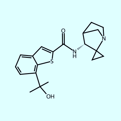 CC(C)(O)c1cccc2cc(C(=O)N[C@@H]3C4CCN(C4)C34CC4)sc12